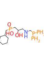 O=P(O)(CC1CCCCC1)C[C@H](O)CNCP(P)P